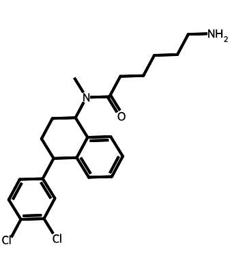 CN(C(=O)CCCCCN)C1CCC(c2ccc(Cl)c(Cl)c2)c2ccccc21